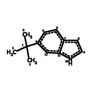 CC(C)(C)c1ccc2cc[nH]c2c1